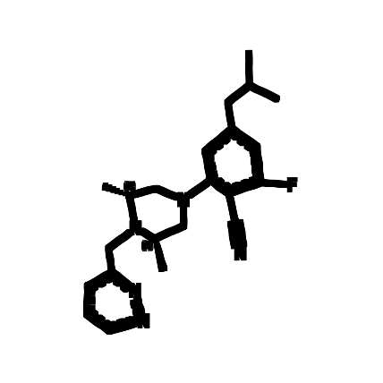 CC(C)Cc1cc(F)c(C#N)c(N2C[C@@H](C)N(Cc3cccnn3)[C@H](C)C2)c1